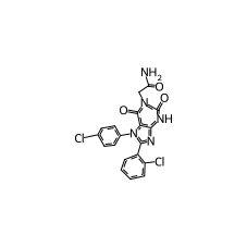 NC(=O)Cn1c(=O)[nH]c2nc(-c3ccccc3Cl)n(-c3ccc(Cl)cc3)c2c1=O